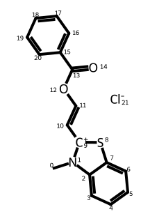 Cn1c2ccccc2s[c+]1C=COC(=O)c1ccccc1.[Cl-]